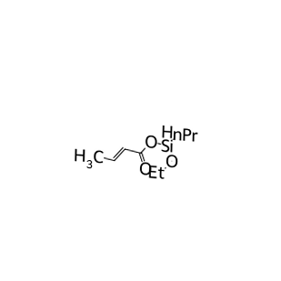 CC=CC(=O)O[SiH](CCC)OCC